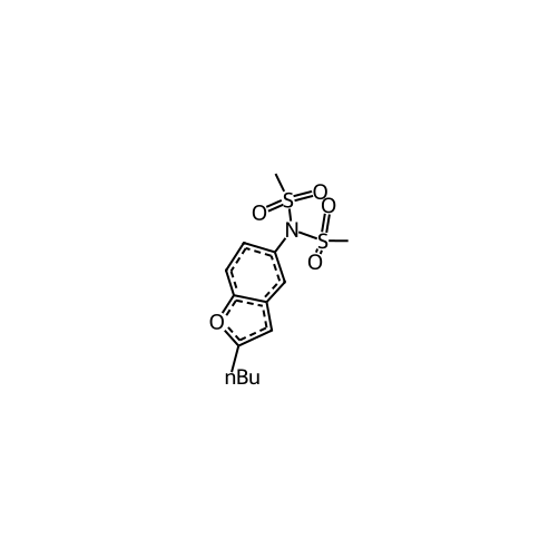 CCCCc1cc2cc(N(S(C)(=O)=O)S(C)(=O)=O)ccc2o1